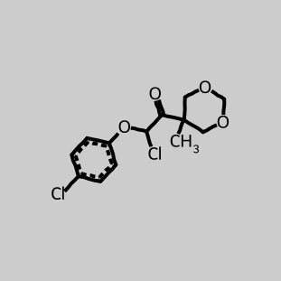 CC1(C(=O)C(Cl)Oc2ccc(Cl)cc2)COCOC1